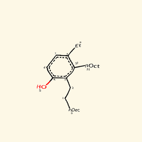 CCCCCCCCCCCCc1c(O)ccc(CC)c1CCCCCCCC